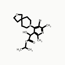 Cc1nc(C)c(C(O)C(=O)OC(C)C)c(N2CCC3(CCOC3)CC2)c1Br